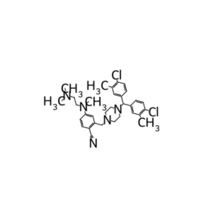 Cc1cc(C(c2ccc(Cl)c(C)c2)N2CCN(Cc3cc(N(C)CCN(C)C)ccc3C#N)CC2)ccc1Cl